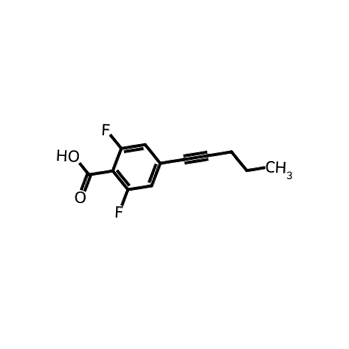 CCCC#Cc1cc(F)c(C(=O)O)c(F)c1